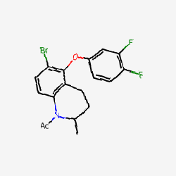 CC(=O)N1c2ccc(Br)c(Oc3ccc(F)c(F)c3)c2CCC1C